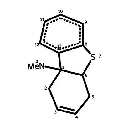 CNC12CC=CCC1Sc1ccccc12